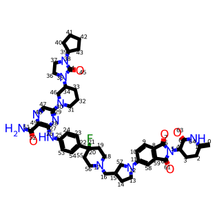 C=C1CCC(N2C(=O)c3ccc(N4CCC(CN5CCC(F)(c6ccc(Nc7nc(N8CCCC(N9CCN(C%10CCCC%10)C9=O)C8)cnc7C(N)=O)cc6)CC5)C4)cc3C2=O)C(=O)N1